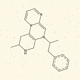 CC1CC2=C(CN1)N(C(C)Cc1ccccc1)C=C1N=CC=CN12